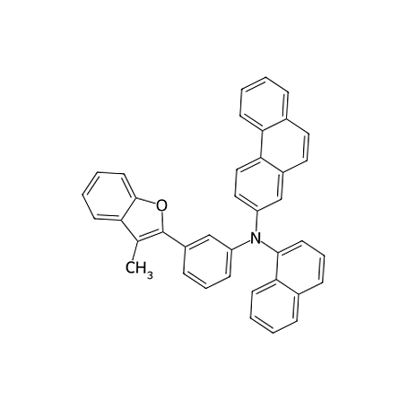 Cc1c(-c2cccc(N(c3ccc4c(ccc5ccccc54)c3)c3cccc4ccccc34)c2)oc2ccccc12